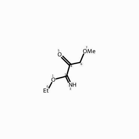 CCOC(=N)C(=O)COC